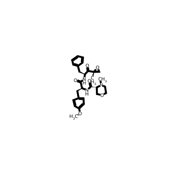 COc1ccc(C[C@H](NC(=O)[C@H]2COCCN2C)C(=O)N[C@@H](Cc2ccccc2)C(=O)[C@@]2(C)CO2)cc1